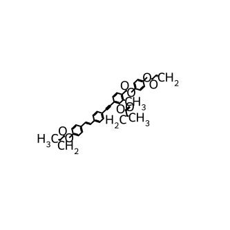 C=CC(=O)Oc1ccc(OC(=O)c2ccc(C#Cc3ccc(/C=C/c4ccc(OC(=O)C(=C)C)cc4)cc3)c(OC(=O)C(=C)C)c2C)cc1